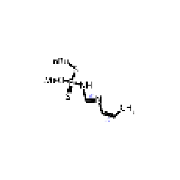 C/C=C\N=C\NP(=S)(OC)SCCCC